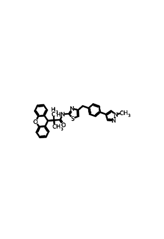 Cn1cc(-c2ccc(Cc3csc(NC(=O)C(C)(C)C4c5ccccc5Oc5ccccc54)n3)cc2)cn1